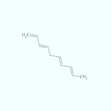 [CH2]/C=C/C=C/C/C=C/C=C